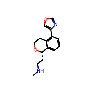 CNCC[C@@H]1OCCc2c(-c3cocn3)cccc21